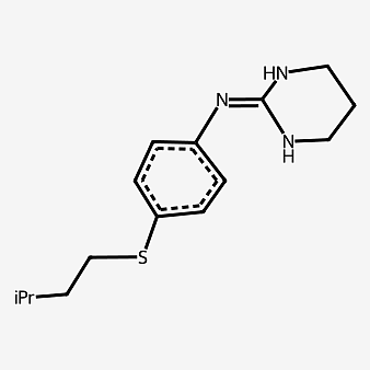 CC(C)CCSc1ccc(N=C2NCCCN2)cc1